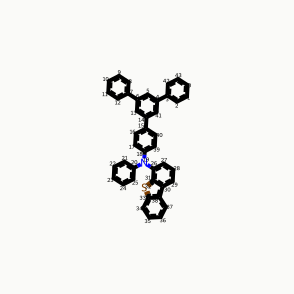 c1ccc(-c2cc(-c3ccccc3)cc(-c3ccc(N(c4ccccc4)c4cccc5c4sc4ccccc45)cc3)c2)cc1